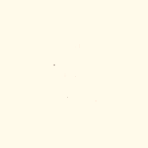 O=CC1(COCC(CO)(COC(=O)C2CCC(S)CC2)COC(=O)C2CCC(S)CC2)CCC(S)CC1